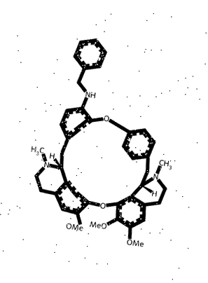 COc1cc2c3cc1Oc1c(OC)c(OC)cc4c1[C@H](Cc1ccc(cc1)Oc1cc(ccc1NCc1ccccc1)C[C@H]3N(C)CC2)N(C)CC4